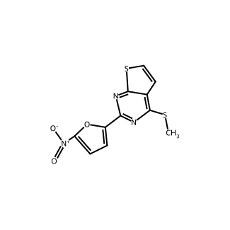 CSc1nc(-c2ccc([N+](=O)[O-])o2)nc2sccc12